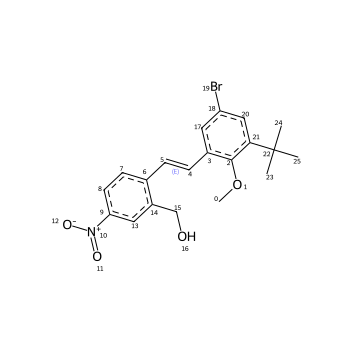 COc1c(/C=C/c2ccc([N+](=O)[O-])cc2CO)cc(Br)cc1C(C)(C)C